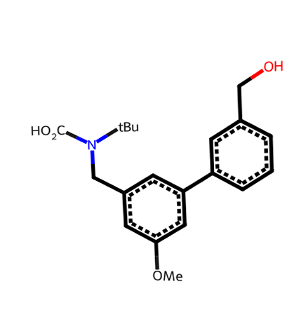 COc1cc(CN(C(=O)O)C(C)(C)C)cc(-c2cccc(CO)c2)c1